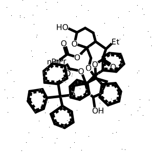 CCCC(=O)OC1(COC(c2ccccc2)(c2ccccc2)c2ccccc2)OC(O)CCC1OC(=O)C(CC)C1CCC(O)OC1(COC(c1ccccc1)(c1ccccc1)c1ccccc1)OC(=O)CCC